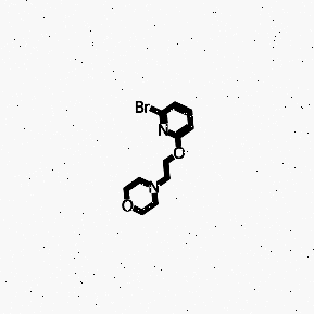 Brc1cccc(OCCN2CCOCC2)n1